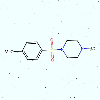 CCN1[CH]CN(S(=O)(=O)c2ccc(OC)cc2)CC1